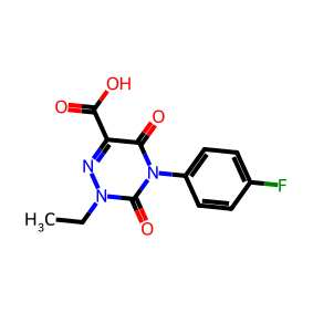 CCn1nc(C(=O)O)c(=O)n(-c2ccc(F)cc2)c1=O